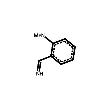 CNc1ccccc1C=N